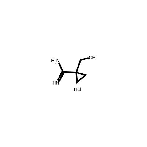 Cl.N=C(N)C1(CO)CC1